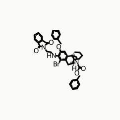 O=C1c2ccccc2C(=O)N1CCNc1c(OCc2ccccc2)cc2c(c1Br)C[C@H]1C3CCCC[C@@]23CCN1C(=O)OCc1ccccc1